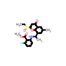 CC[S+]([O-])c1cc(=O)c2cc(C)cc(C(C)Nc3cccc(F)c3C(=O)OC)c2o1